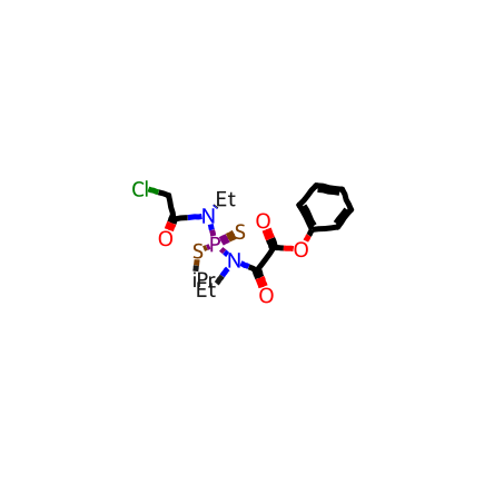 CCN(C(=O)CCl)P(=S)(SC(C)C)N(CC)C(=O)C(=O)Oc1ccccc1